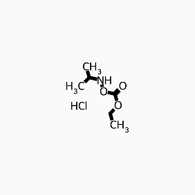 CCOC(=O)ONC(C)C.Cl